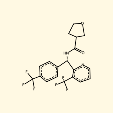 O=C(N[C@@H](c1ccc(C(F)(F)F)cc1)c1ncccc1C(F)(F)F)C1CCOC1